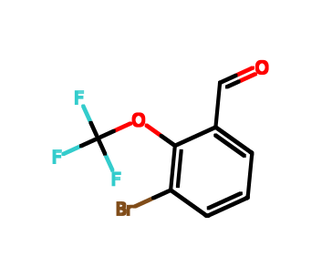 O=Cc1cccc(Br)c1OC(F)(F)F